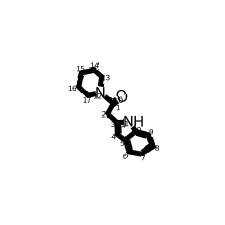 O=C([CH]c1cc2ccccc2[nH]1)N1CCCCC1